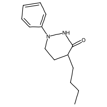 CCCCC1CCN(c2ccccc2)NC1=O